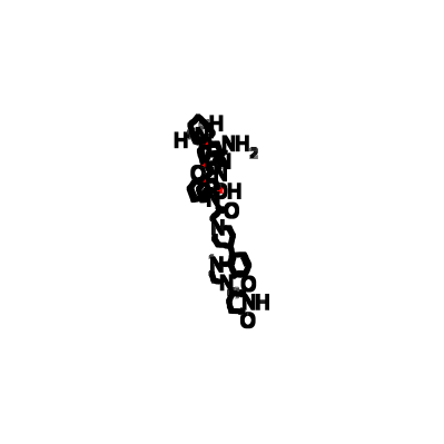 CN1CCN([C@@H]2CCC(=O)NC2=O)c2cccc(C3CCN(CC(=O)N4CCC(Oc5cccc(N6[C@@H]7CC[C@H]6CN(c6cc(-c8ccccc8O)nnc6N)C7)c5)CC4)CC3)c21